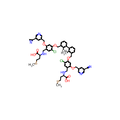 CSCCC(NCc1cc(Cl)c(OCc2cccc(-c3cccc(COc4cc(OCc5cncc(C6=NC6)c5)c(CNC(CCSC)C(=O)O)cc4Cl)c3C)c2C)cc1OCc1cncc(C#N)c1)C(=O)O